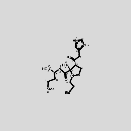 CCC(C)CCN1CC[C@H](C(=O)Cc2c[nH]cn2)[C@@]1(N)C(=O)N[C@@H](CCSC)C(=O)O